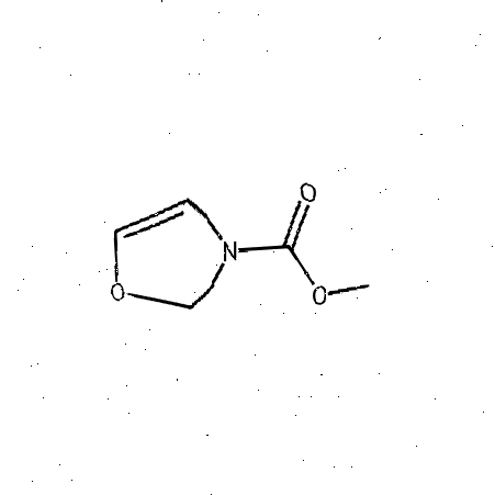 COC(=O)N1C=COC1